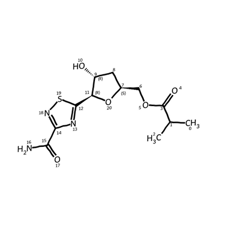 CC(C)C(=O)OC[C@@H]1C[C@@H](O)[C@H](c2nc(C(N)=O)ns2)O1